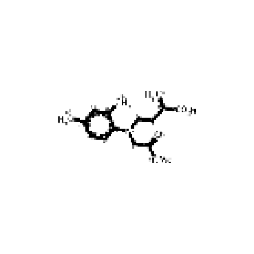 COC(=O)CN(CCC(C)C(=O)O)c1ccc(C)cc1C